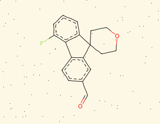 O=Cc1ccc2c(c1)C1(CCOCC1)c1cccc(F)c1-2